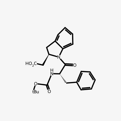 CC(C)(C)OC(=O)N[C@@H](Cc1ccccc1)C(=O)N1c2ccccc2C[C@@H]1CC(=O)O